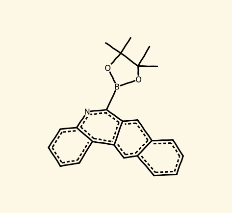 CC1(C)OB(c2nc3ccccc3c3cc4ccccc4cc23)OC1(C)C